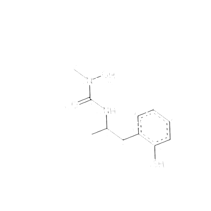 CC(Cc1ccccc1S)NC(=O)N(C)O